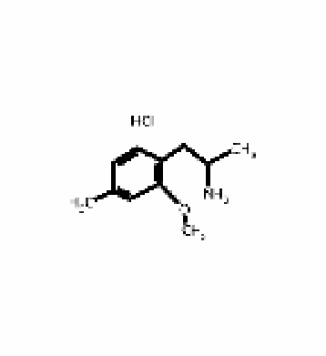 COc1cc(C)ccc1CC(C)N.Cl